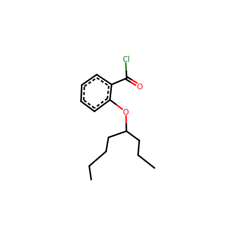 CCCCC(CCC)Oc1ccccc1C(=O)Cl